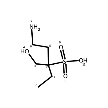 CCC(CO)(CCN)S(=O)(=O)O